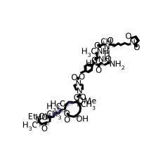 CC[C@H](O)[C@@H](C)[C@H]1O[C@@H]1C[C@@](C)(O)/C=C/C=C(\C)[C@H]1OC(=O)C[C@H](O)CC[C@@](C)(OC)[C@@H](OC(=O)N2CCN(C(=O)OCc3ccc(NC(=O)[C@H](CC(N)=O)NC(=O)[C@H](C)NC(=O)[C@H](C)NC(=O)CCCCCN4C(=O)C=CC4=O)cc3)CC2)/C=C/[C@@H]1C